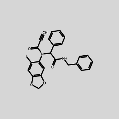 C#CC(=O)N(c1cc2c(cc1I)OCO2)C(C(=O)NCc1ccccc1)c1ccccc1